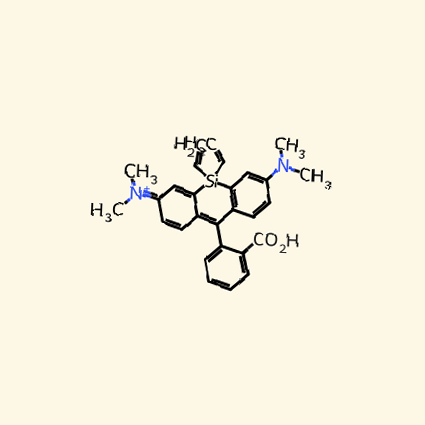 C=C[Si]1(C=C)C2=CC(=[N+](C)C)C=CC2=C(c2ccccc2C(=O)O)c2ccc(N(C)C)cc21